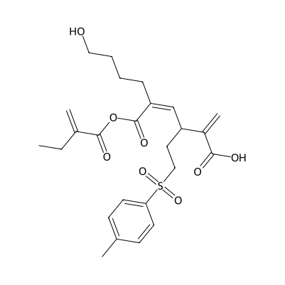 C=C(CC)C(=O)OC(=O)C(=CC(CCS(=O)(=O)c1ccc(C)cc1)C(=C)C(=O)O)CCCCO